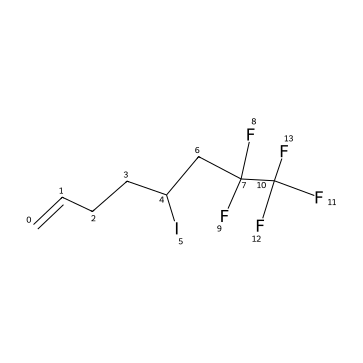 C=CCCC(I)CC(F)(F)C(F)(F)F